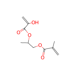 C=C(C)C(=O)OCC(C)OC(=O)C(=C)O